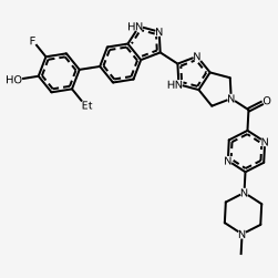 CCc1cc(O)c(F)cc1-c1ccc2c(-c3nc4c([nH]3)CN(C(=O)c3cnc(N5CCN(C)CC5)cn3)C4)n[nH]c2c1